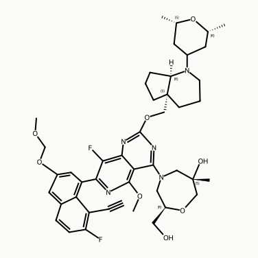 C#Cc1c(F)ccc2cc(OCOC)cc(-c3nc(OC)c4c(N5C[C@H](CO)OC[C@@](C)(O)C5)nc(OC[C@]56CCC[C@H]5N(C5C[C@@H](C)O[C@@H](C)C5)CCC6)nc4c3F)c12